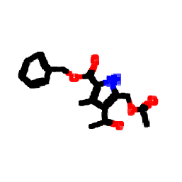 CC(=O)OCc1[nH]c(C(=O)OCc2ccccc2)c(C)c1C(C)=O